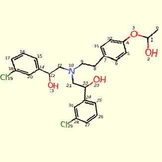 CC(O)Oc1ccc(CCN(CC(O)c2cccc(Cl)c2)CC(O)c2cccc(Cl)c2)cc1